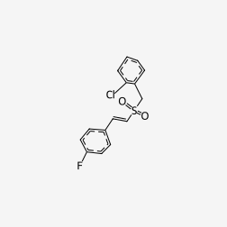 O=S(=O)(C=Cc1ccc(F)cc1)Cc1ccccc1Cl